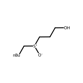 CCCCC[S+]([O-])CCCO